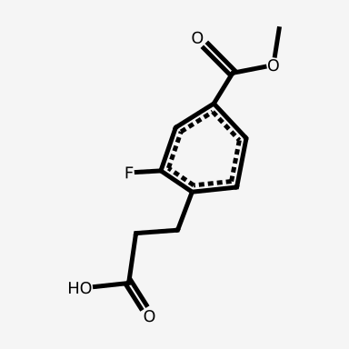 COC(=O)c1ccc(CCC(=O)O)c(F)c1